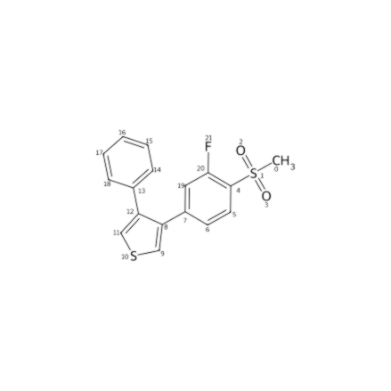 CS(=O)(=O)c1ccc(-c2cscc2-c2ccccc2)cc1F